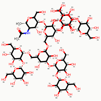 CC(=O)NC1[C@H](C)OC(CO)[C@@H](O[C@@H]2OC(COC3OC(CO[C@H]4OC(CO)[C@@H](O)[C@H](O)C4O[C@H]4OC(CO)[C@@H](O)[C@H](O)C4O)[C@@H](O)[C@H](O[C@H]4OC(CO)[C@@H](O)C(O)C4O[C@H]4OC(CO)[C@@H](O)C(O)C4O)C3O)[C@@H](O)[C@H](O[C@H]3OC(CO)[C@@H](O)C(O)C3O[C@H]3OC(CO)[C@@H](O)C(O)C3O[C@H]3OC(CO)[C@@H](O)C(O)C3O)C2O)[C@@H]1O